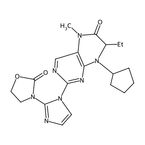 CCC1C(=O)N(C)c2cnc(-n3ccnc3N3CCOC3=O)nc2N1C1CCCC1